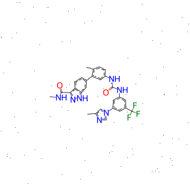 CNC(=O)c1n[nH]c2cc(-c3cc(NC(=O)Nc4cc(-n5cnc(C)c5)cc(C(F)(F)F)c4)ccc3C)ccc12